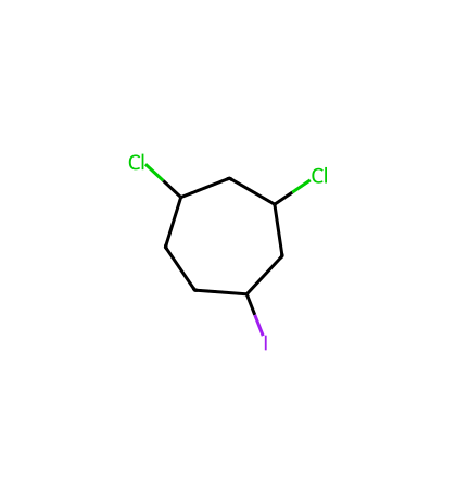 ClC1CCC(I)CC(Cl)C1